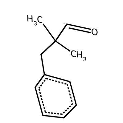 CC(C)([C]=O)Cc1ccccc1